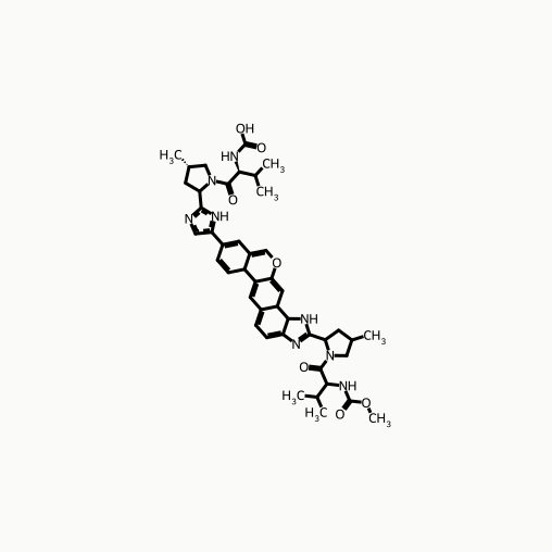 COC(=O)NC(C(=O)N1CC(C)CC1C1=NC2=CC=C3C=C4C(=CC3C2N1)OC=C1C=C(c2cnc(C3C[C@H](C)CN3C(=O)[C@@H](NC(=O)O)C(C)C)[nH]2)C=CC14)C(C)C